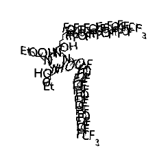 CCOCC(O)CN1CCN(CC(O)CCCC(F)(F)OC(F)(F)C(F)(F)OC(F)(F)C(F)(F)OC(F)(F)C(F)(F)OC(F)(F)C(F)(F)OC(F)(F)C(F)(F)OC(F)(F)C(F)(F)F)CCN(CC(O)COCC(F)(F)OC(F)(F)C(F)(F)OC(F)(F)C(F)(F)OC(F)(F)C(F)(F)OC(F)(F)C(F)(F)OC(F)(F)C(F)(F)OC(F)(F)C(F)(F)F)CCN(CC(O)COCC)CC1